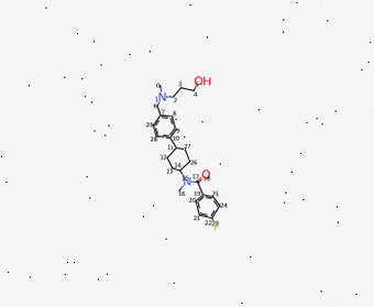 CN(CCCO)Cc1ccc(C2CCC(N(C)C(=O)c3ccc(F)cc3)CC2)cc1